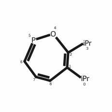 CC(C)C1=C(C(C)C)OP=CC=C1